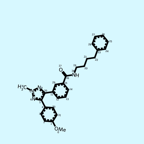 COc1ccc(-c2nn(C)nc2-c2cccc(C(=O)NCCCCc3ccccc3)c2)cc1